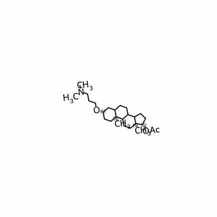 CC(=O)O[C@H]1CCC2C3CCC4C[C@@H](OCCCN(C)C)CC[C@]4(C)C3CC[C@@]21C